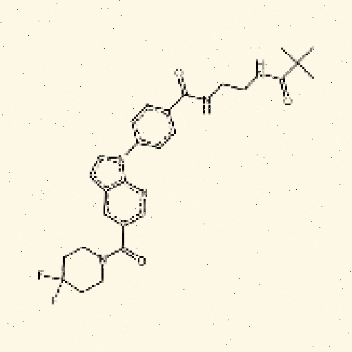 CC(C)(C)C(=O)NCCNC(=O)c1ccc(-n2ccc3cc(C(=O)N4CCC(F)(F)CC4)cnc32)cc1